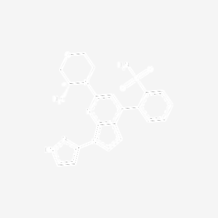 C[C@@H]1COCCN1c1cc(-c2ccccc2S(N)(=O)=O)c2ccn(-c3cc[nH]n3)c2n1